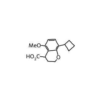 COc1ccc(C2CCC2)c2c1C(C(=O)O)CCO2